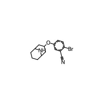 N#Cc1cc(OC2CC3CCCC(C2)N3)ccc1Br